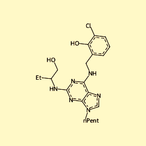 CCCCCn1cnc2c(NCc3cccc(Cl)c3O)nc(NC(CC)CO)nc21